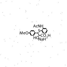 COc1ccc(C(Sc2ccccc2NC(C)=O)C(O)C(=O)O)cc1.[NaH]